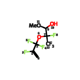 C=C(F)C(F)(F)OC(F)(C(O)OC)C(F)(F)F